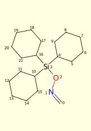 C=NO[Si](C1CCCCC1)(C1CCCCC1)C1CCCCC1